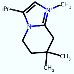 CC(C)c1c[n+](C)c2n1CCC(C)(C)C2